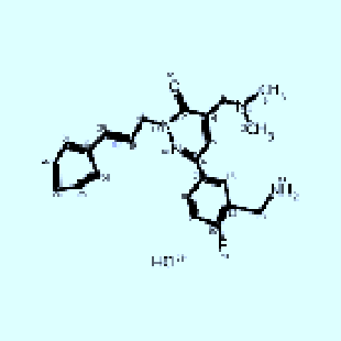 CN(C)Cc1cc(-c2ccc(F)c(CN)c2)nn(C/C=C/c2ccccc2)c1=O.Cl